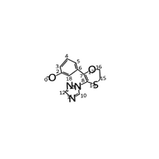 COc1cccc(C2=C(n3cncn3)SCCO2)c1